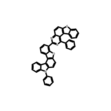 c1ccc(-c2nc(-c3cccc4c3oc3ccc5c(c6ccccc6n5-c5ccccc5)c34)nc3ccc4sc5ccccc5c4c23)cc1